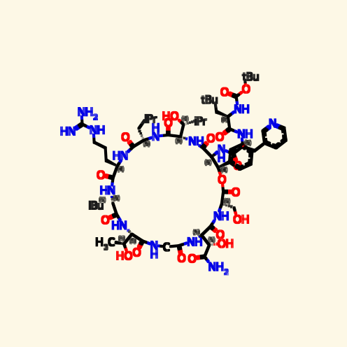 CC[C@H](C)[C@@H]1NC(=O)[C@@H](CCCNC(=N)N)NC(=O)[C@H](CC(C)C)NC(=O)[C@H]([C@H](O)C(C)C)NC(=O)[C@@H](NC(=O)[C@H](Cc2cccnc2)NC(=O)[C@@H](CC(C)(C)C)NC(=O)OC(C)(C)C)[C@@H](c2ccccc2)OC(=O)[C@H](CO)NC(=O)[C@H]([C@H](O)C(N)=O)NC(=O)CNC(=O)[C@H]([C@H](C)O)NC1=O